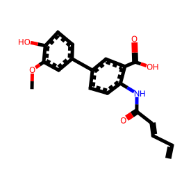 C=CC=CC(=O)Nc1ccc(-c2ccc(O)c(OC)c2)cc1C(=O)O